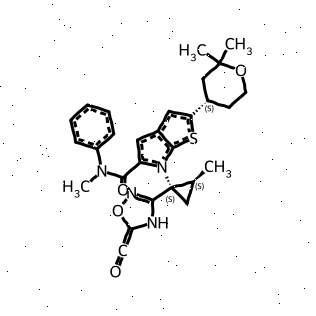 C[C@H]1C[C@]1(C1=NOC(=C=O)N1)n1c(C(=O)N(C)c2ccccc2)cc2cc([C@H]3CCOC(C)(C)C3)sc21